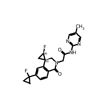 Cc1cnc(NC(=O)CN2C[C@]3(C[C@H]3F)c3cc(C4(F)CC4)ccc3C2=O)nc1